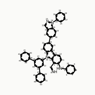 N=Cc1c(Nc2ccccc2)ccc2c3cc(-c4ccc5c(cnn5-c5ccccc5)c4)ccc3n(-c3cc(-c4ccccc4)cc(-c4ccccc4)c3)c12